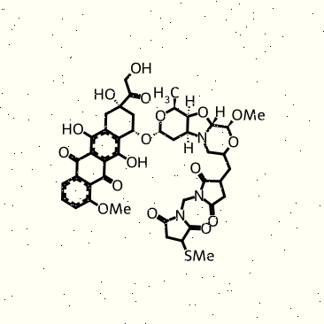 COc1cccc2c1C(=O)c1c(O)c3c(c(O)c1C2=O)C[C@@](O)(C(=O)CO)C[C@@H]3O[C@H]1C[C@H]2[C@H](O[C@@H]3[C@@H](OC)OC(CC4CC(=O)N(CN5C(=O)CC(SC)C5=O)C4=O)CN32)[C@H](C)O1